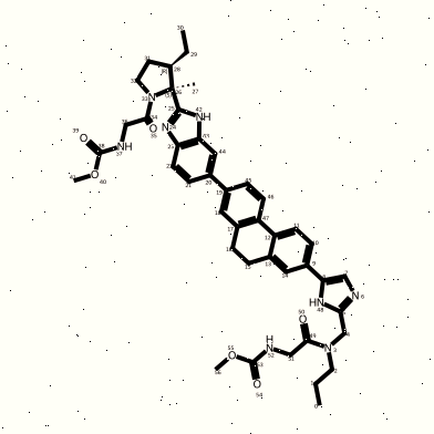 CCCN(Cc1ncc(-c2ccc3c(c2)CCc2cc(-c4ccc5nc([C@]6(C)[C@H](CC)CCN6C(=O)CNC(=O)OC)[nH]c5c4)ccc2-3)[nH]1)C(=O)CNC(=O)OC